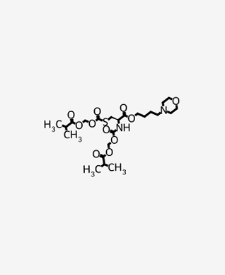 CC(C)C(=O)OCOC(=O)N[C@@H](CSC(=O)OCOC(=O)C(C)C)C(=O)OCCCCN1CCOCC1